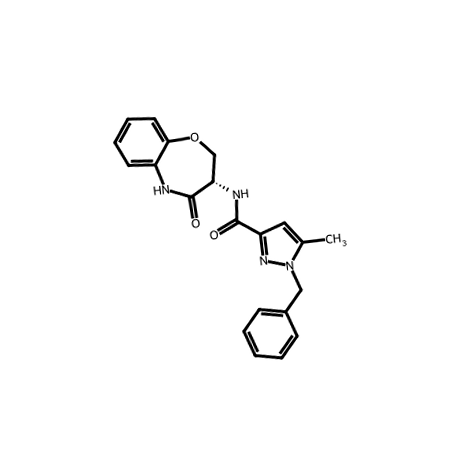 Cc1cc(C(=O)N[C@H]2COc3ccccc3NC2=O)nn1Cc1ccccc1